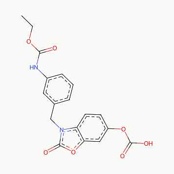 CCOC(=O)Nc1cccc(Cn2c(=O)oc3cc(OC(=O)O)ccc32)c1